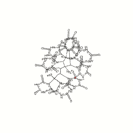 O=C(O)C(C(n1c(=O)[nH]c(=O)[nH]c1=O)C(O)(n1c(=O)[nH]c(=O)[nH]c1=O)n1c(=O)[nH]c(=O)[nH]c1=O)C(S)(C(n1c(=O)[nH]c(=O)[nH]c1=O)C(O)(n1c(=O)[nH]c(=O)[nH]c1=O)n1c(=O)[nH]c(=O)[nH]c1=O)C(n1c(=O)[nH]c(=O)[nH]c1=O)C(O)(n1c(=O)[nH]c(=O)[nH]c1=O)n1c(=O)[nH]c(=O)[nH]c1=O